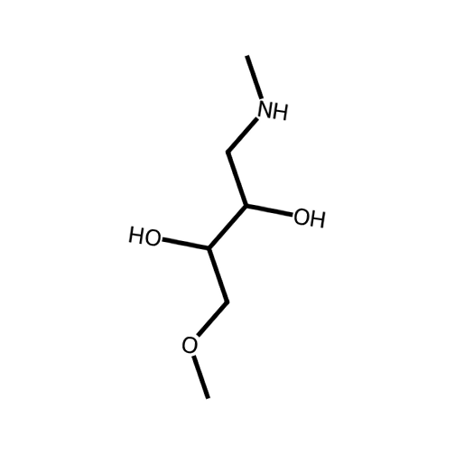 CNCC(O)C(O)COC